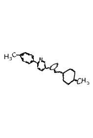 Cc1ccc(-c2ccc(OCC3CCC(C)CC3)cn2)cc1